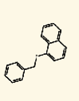 c1ccc(C[P]c2cccc3ccccc23)cc1